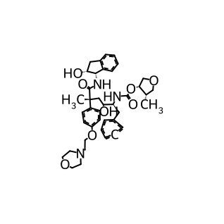 C[C@H]1COC[C@H]1OC(=O)N[C@@H](Cc1ccccc1)[C@@H](O)C[C@@](C)(C(=O)N[C@H]1c2ccccc2C[C@H]1O)c1ccc(OCCN2CCOCC2)cc1